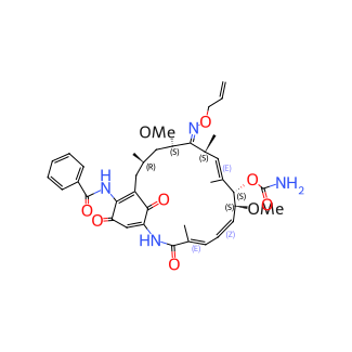 C=CCON=C1[C@@H](OC)C[C@H](C)CC2=C(NC(=O)c3ccccc3)C(=O)C=C(NC(=O)/C(C)=C/C=C\[C@H](OC)[C@@H](OC(N)=O)/C(C)=C/[C@@H]1C)C2=O